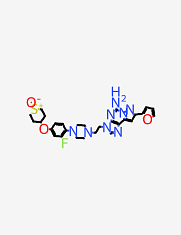 Nc1nc2c(ncn2CCN2CCN(c3ccc(O[C@H]4CC[S@@+]([O-])CC4)cc3F)CC2)c2cc(-c3ccco3)nn12